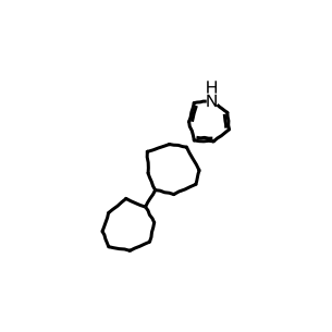 C1=CC=CNC=C1.C1CCCC(C2CCCCCCC2)CCC1